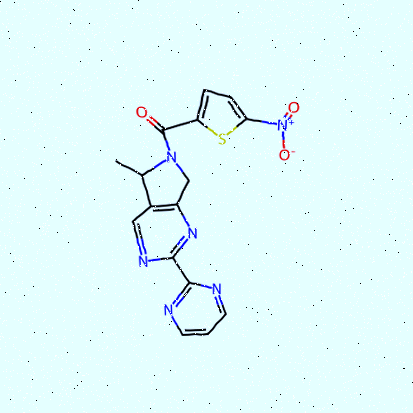 CC1c2cnc(-c3ncccn3)nc2CN1C(=O)c1ccc([N+](=O)[O-])s1